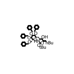 CCCC/C=C/[C@@H](O)[C@H](C[C@H]1O[C@H](COCc2ccccc2)[C@H](OCc2ccccc2)[C@H](OCc2ccccc2)[C@H]1OCc1ccccc1)NC(=O)OC(C)(C)C